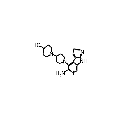 Nc1ncc2[nH]c3ncccc3c2c1N1CCC(N2CCC(O)CC2)CC1